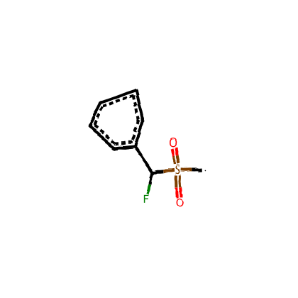 [CH2]S(=O)(=O)C(F)c1ccccc1